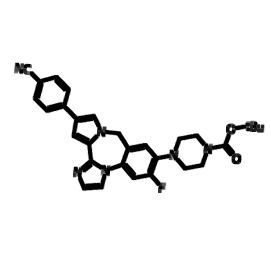 CC(C)(C)OC(=O)N1CCN(c2cc3c(cc2F)-n2ccnc2-c2cc(-c4ccc(C#N)cc4)cn2C3)CC1